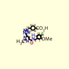 COc1cc(CNC(=O)c2cc(-c3nnn(CC4CCC(C(=O)O)CC4)n3)nc(C)n2)ccc1F